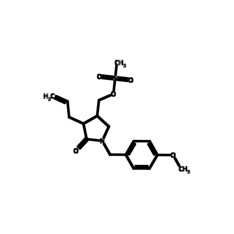 C=CCC1C(=O)N(Cc2ccc(OC)cc2)CC1COS(C)(=O)=O